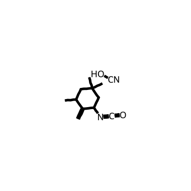 C=C1C(C)CC(C)(C)CC1N=C=O.N#CO